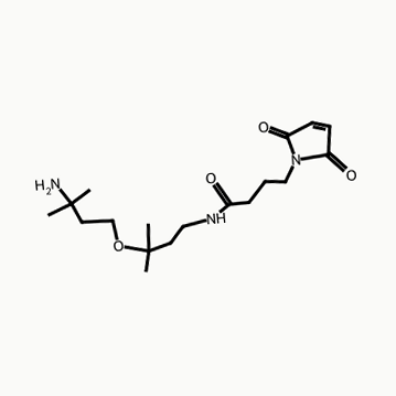 CC(C)(N)CCOC(C)(C)CCNC(=O)CCCN1C(=O)C=CC1=O